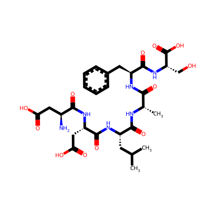 CC(C)C[C@H](NC(=O)[C@H](CC(=O)O)NC(=O)[C@@H](N)CC(=O)O)C(=O)N[C@@H](C)C(=O)N[C@@H](Cc1ccccc1)C(=O)N[C@@H](CO)C(=O)O